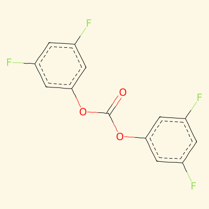 O=C(Oc1cc(F)cc(F)c1)Oc1cc(F)cc(F)c1